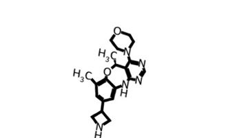 Cc1cc(C2CNC2)cc2c1O[C@@H](C)c1c(ncnc1N1CCOCC1)N2